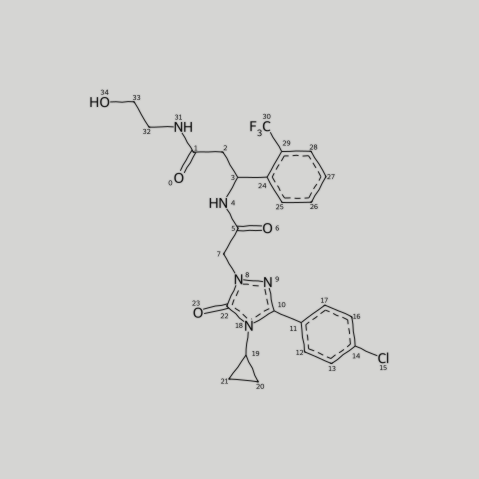 O=C(CC(NC(=O)Cn1nc(-c2ccc(Cl)cc2)n(C2CC2)c1=O)c1ccccc1C(F)(F)F)NCCO